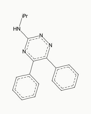 CC(C)Nc1nnc(-c2ccccc2)c(-c2ccccc2)n1